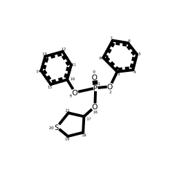 O=P(Oc1ccccc1)(Oc1ccccc1)OC1CCSC1